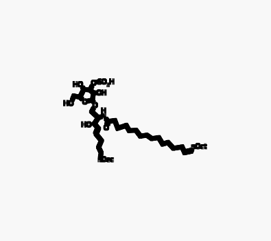 CCCCCCCC/C=C\CCCCCCCCCCCCCC(=O)NC(COC1OC(CO)C(O)C(OS(=O)(=O)O)C1O)[C@H](O)/C=C/CCCCCCCCCCCCC